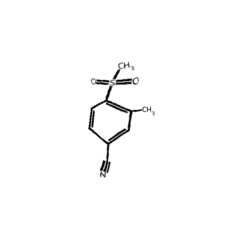 Cc1cc(C#N)ccc1S(C)(=O)=O